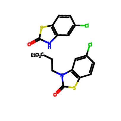 CCOC(=O)CCn1c(=O)sc2ccc(Cl)cc21.O=c1[nH]c2cc(Cl)ccc2s1